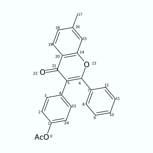 CC(=O)Oc1ccc(-c2c(-c3ccccc3)oc3cc(C)ccc3c2=O)cc1